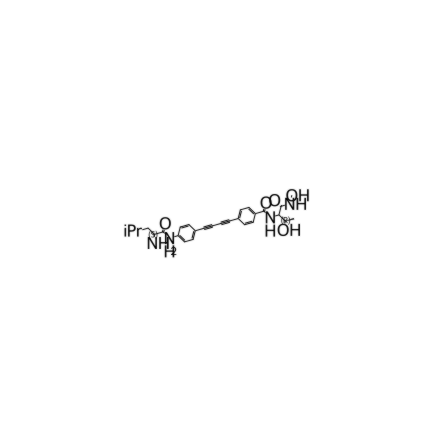 CC(C)C[C@H](N)C(=O)Nc1ccc(C#CC#Cc2ccc(C(=O)NC(C(=O)NO)[C@@H](C)O)cc2)cc1